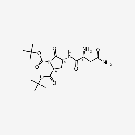 CC(C)(C)OC(=O)[C@@H]1C[C@@H](NC(=O)[C@@H](N)CC(N)=O)C(=O)N1C(=O)OC(C)(C)C